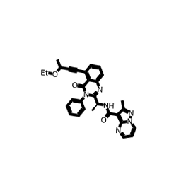 CCOC(C)C#Cc1cccc2nc([C@H](C)NC(=O)c3c(C)nn4cccnc34)n(-c3ccccc3)c(=O)c12